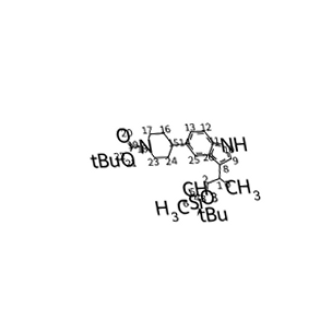 CC(CO[Si](C)(C)C(C)(C)C)c1c[nH]c2ccc(C3CCN(C(=O)OC(C)(C)C)CC3)cc12